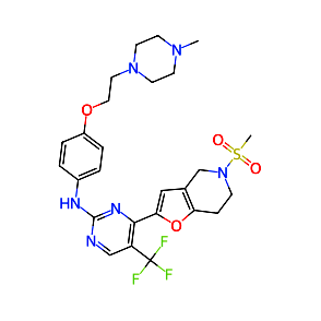 CN1CCN(CCOc2ccc(Nc3ncc(C(F)(F)F)c(-c4cc5c(o4)CCN(S(C)(=O)=O)C5)n3)cc2)CC1